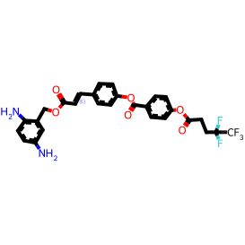 Nc1ccc(N)c(COC(=O)/C=C/c2ccc(OC(=O)c3ccc(OC(=O)CCC(F)(F)C(F)(F)F)cc3)cc2)c1